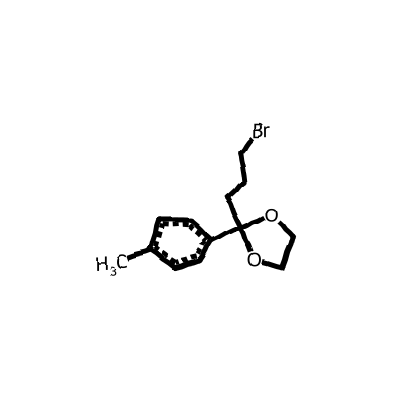 Cc1ccc(C2(CCCBr)OCCO2)cc1